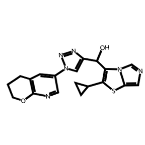 OC(c1cn(-c2cnc3c(c2)CCCO3)nn1)c1c(C2CC2)sc2cncn12